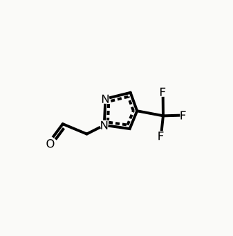 O=CCn1cc(C(F)(F)F)cn1